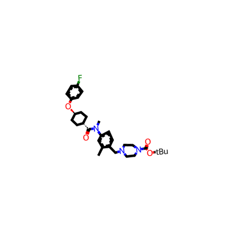 Cc1cc(N(C)C(=O)[C@H]2CC[C@H](Oc3ccc(F)cc3)CC2)ccc1CN1CCN(C(=O)OC(C)(C)C)CC1